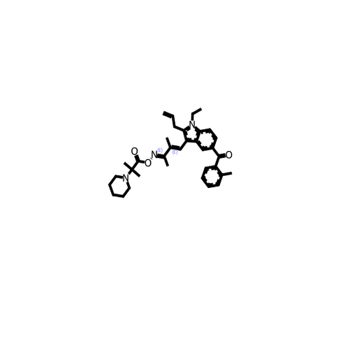 C=CCc1c(/C=C(C)/C(C)=N/OC(=O)C(C)(C)N2CCCCC2)c2cc(C(=O)c3ccccc3C)ccc2n1CC